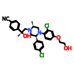 C[C@@H]1CN(c2ccc(OCCO)cc2Cl)[C@H](c2ccc(Cl)cc2)CN1C[C@@](C)(O)c1ccc(C#N)cc1